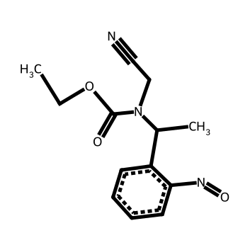 CCOC(=O)N(CC#N)C(C)c1ccccc1N=O